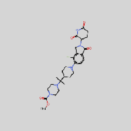 CC(C)(C)OC(=O)N1CCN(C(C)(C)C2CCN(c3ccc4c(c3F)CN(C3CCC(=O)NC3=O)C4=O)CC2)CC1